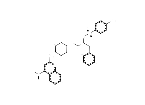 Cc1ccc(S(=O)(=O)N[C@H](CN[C@H]2CC[C@@H](Nc3cc(N(C)C)c4ccccc4n3)CC2)Cc2ccccc2)cc1